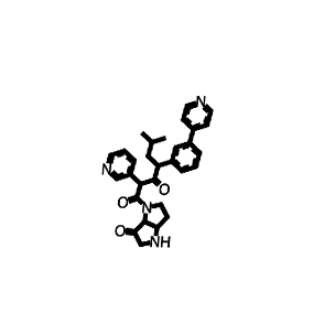 CC(C)CC(C(=O)C(C(=O)N1CCC2NCC(=O)C21)c1cccnc1)c1cccc(-c2ccncc2)c1